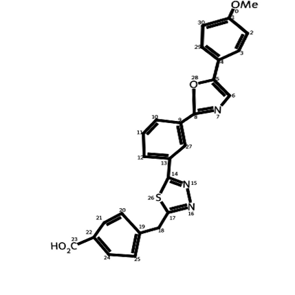 COc1ccc(-c2cnc(-c3cccc(-c4nnc(Cc5ccc(C(=O)O)cc5)s4)c3)o2)cc1